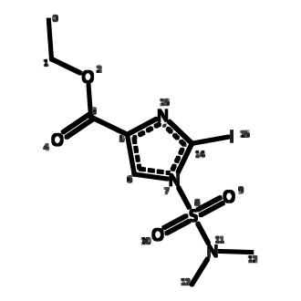 CCOC(=O)c1cn(S(=O)(=O)N(C)C)c(I)n1